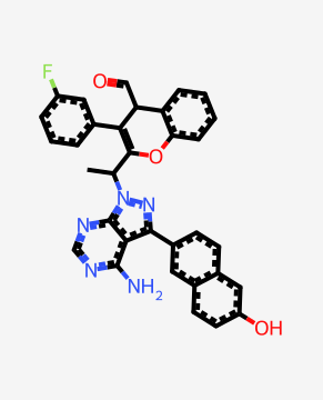 CC(C1=C(c2cccc(F)c2)C(C=O)c2ccccc2O1)n1nc(-c2ccc3cc(O)ccc3c2)c2c(N)ncnc21